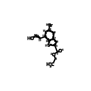 CCOC(=O)c1cc2cc(Br)cc(C=NO)c2s1